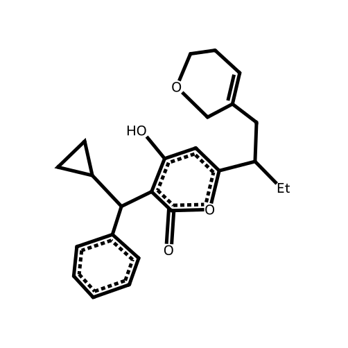 CCC(CC1=CCCOC1)c1cc(O)c(C(c2ccccc2)C2CC2)c(=O)o1